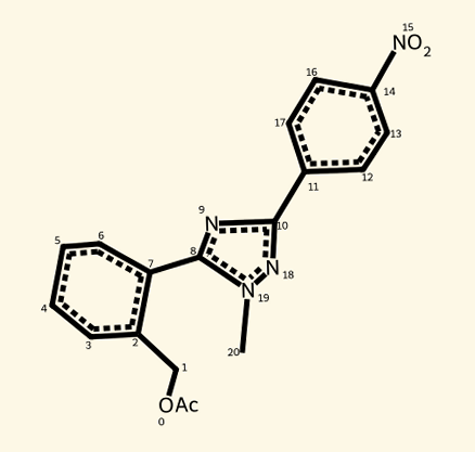 CC(=O)OCc1ccccc1-c1nc(-c2ccc([N+](=O)[O-])cc2)nn1C